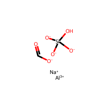 O=C[O-].[Al+3].[Na+].[O-][Si]([O-])([O-])O